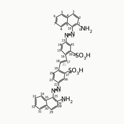 Nc1ccc2ccccc2c1N=Nc1ccc(/C=C/c2ccc(N=Nc3c(N)ccc4ccccc34)cc2S(=O)(=O)O)c(S(=O)(=O)O)c1